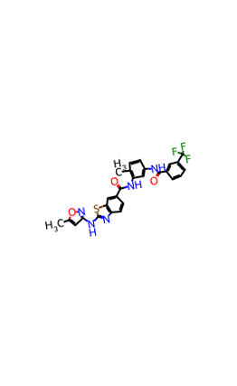 Cc1cc(Nc2nc3ccc(C(=O)Nc4cc(NC(=O)c5cccc(C(F)(F)F)c5)ccc4C)cc3s2)no1